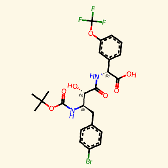 CC(C)(C)OC(=O)N[C@H](Cc1ccc(Br)cc1)[C@H](O)C(=O)N[C@@H](C(=O)O)c1cccc(OC(F)(F)F)c1